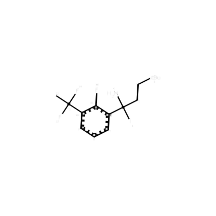 CC(C)(C)CCC(N)(I)c1cccc(C(C)(F)F)c1F